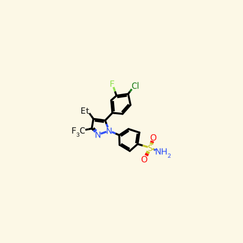 CCc1c(C(F)(F)F)nn(-c2ccc(S(N)(=O)=O)cc2)c1-c1ccc(Cl)c(F)c1